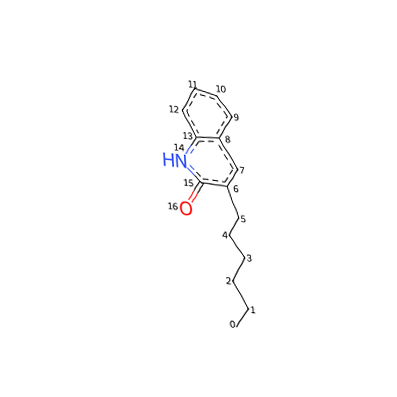 CCCCCCc1cc2ccccc2[nH]c1=O